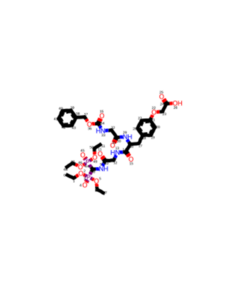 CCOP(=O)(OCC)C(NC(=O)CNC(=O)C(Cc1ccc(OCC(=O)O)cc1)NC(=O)CNC(=O)OCc1ccccc1)P(=O)(OCC)OCC